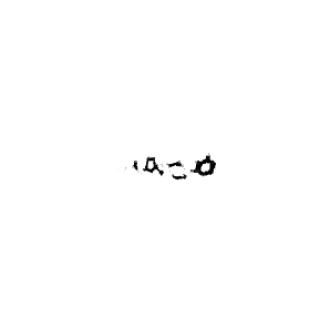 CC(C)[C@]1(C(=O)N2CCN(c3cccc(C(F)(F)F)c3)CC2)CCC(NC(=O)OC(C)(C)C)C1